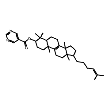 CC(C)=CCCCC1CCC2(C)C3=C(CCC12C)C1(C)CCC(OC(=O)c2cncnc2)C(C)(C)C1CC3